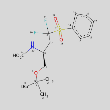 CC(C)(C)[Si](C)(C)OC[C@H](CC(F)(F)S(=O)(=O)c1ccccc1)NC(=O)O